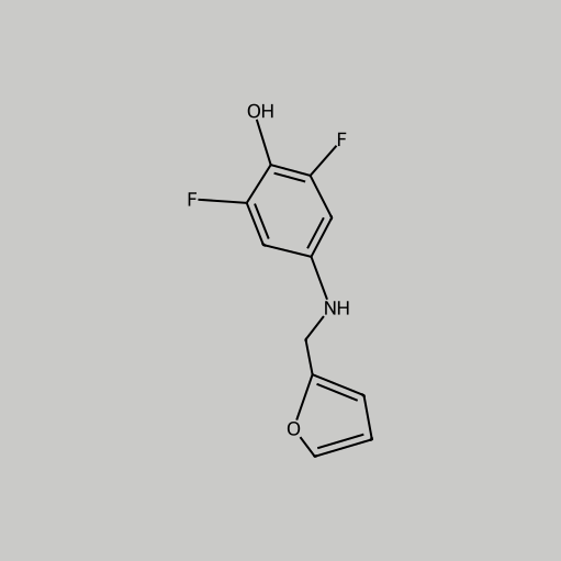 Oc1c(F)cc(NCc2ccco2)cc1F